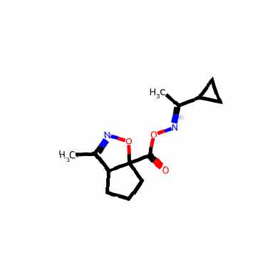 CC1=NOC2(C(=O)O/N=C(\C)C3CC3)CCCC12